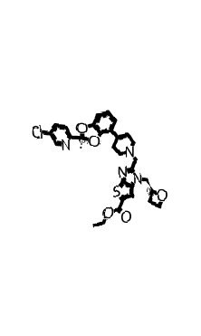 CCOC(=O)c1cc2c(nc(CN3CC=C(c4cccc5c4O[C@@](C)(c4ccc(Cl)cn4)O5)CC3)n2C[C@@H]2CCO2)s1